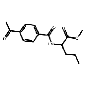 CCCC(NC(=O)c1ccc(C(C)=O)cc1)C(=O)OC